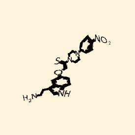 NCCc1c[nH]c2ccc(OCC(=S)N3CCN(c4ccc([N+](=O)[O-])cc4)CC3)cc12